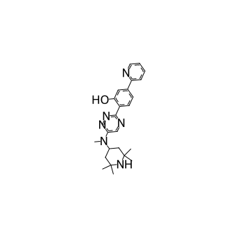 CN(c1cnc(-c2ccc(-c3ccccn3)cc2O)nn1)C1CC(C)(C)NC(C)(C)C1